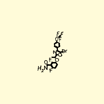 CC(Oc1ccc(F)c(C(N)=O)c1F)c1nc(-c2ccc(OC(F)(F)F)cc2)c(Br)o1